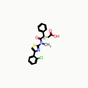 CN(C(=O)[C@@H](CC(=O)O)c1ccccc1)c1nc(-c2ccccc2Cl)cs1